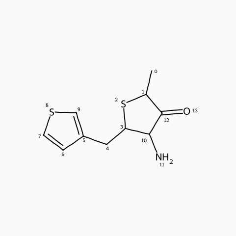 CC1SC(Cc2ccsc2)C(N)C1=O